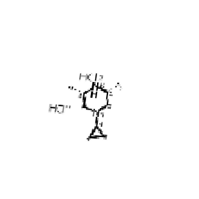 C[C@@H]1CN(C2CC2)C[C@H](C)N1.Cl.Cl